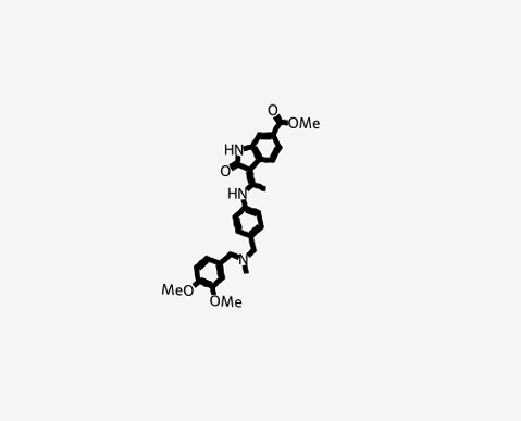 COC(=O)c1ccc2c(c1)NC(=O)/C2=C(/C)Nc1ccc(CN(C)Cc2ccc(OC)c(OC)c2)cc1